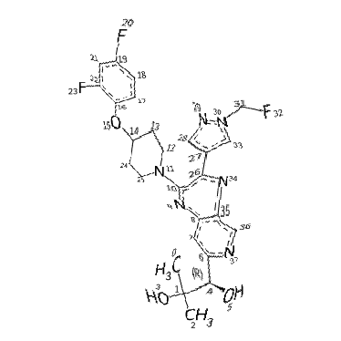 CC(C)(O)[C@H](O)c1cc2nc(N3CCC(Oc4ccc(F)cc4F)CC3)c(-c3cnn(CF)c3)nc2cn1